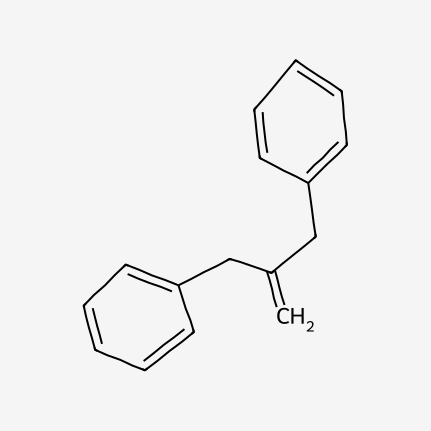 C=C(Cc1ccccc1)Cc1ccccc1